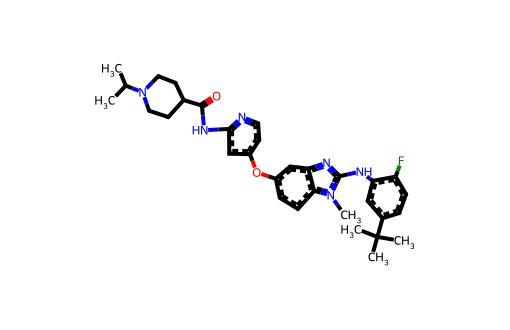 CC(C)N1CCC(C(=O)Nc2cc(Oc3ccc4c(c3)nc(Nc3cc(C(C)(C)C)ccc3F)n4C)ccn2)CC1